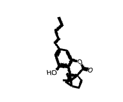 CCCCCc1cc(O)c2c(c1)OC(=O)[C@@]13CCC(C=C21)C3(C)C